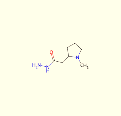 CN1CCCC1CC(=O)NN